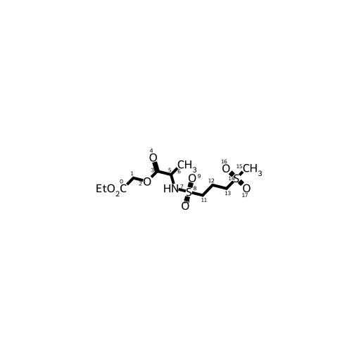 CCOC(=O)COC(=O)C(C)NS(=O)(=O)CCCS(C)(=O)=O